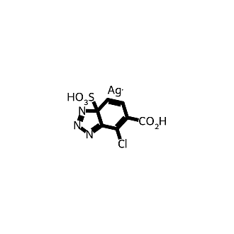 O=C(O)C1=C(Cl)C2=NN=NC2(S(=O)(=O)O)C=C1.[Ag]